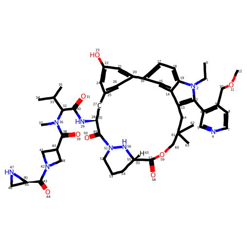 CCn1c(-c2cnccc2COC)c2c3cc(ccc31)-c1cc(O)cc(c1)C[C@H](NC(=O)C(C(C)C)N(C)C(=O)C1CN(C(=O)[C@H]3CN3)C1)C(=O)N1CCC[C@H](N1)C(=O)OCC(C)(C)C2